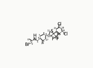 C=C(CBr)NCc1ccc(C2=CSC(c3cc(Cl)cc(Cl)c3)(C(F)(F)F)C2)cc1C